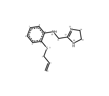 C=CCSc1ccccc1NCC1=NCCN1